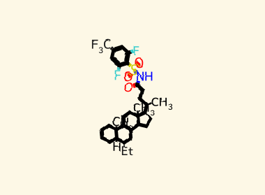 CC[C@H]1CC2C3CC[C@H]([C@H](C)CCC(=O)NS(=O)(=O)c4c(F)cc(C(F)(F)F)cc4F)[C@@]3(C)CCC2[C@@]2(C)CCCC[C@@H]12